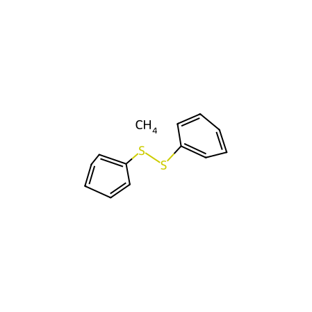 C.c1ccc(SSc2ccccc2)cc1